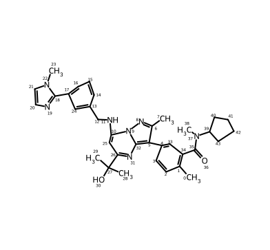 Cc1ccc(-c2c(C)nn3c(NCc4cccc(-c5nccn5C)c4)cc(C(C)(C)O)nc23)cc1C(=O)N(C)C1CCCC1